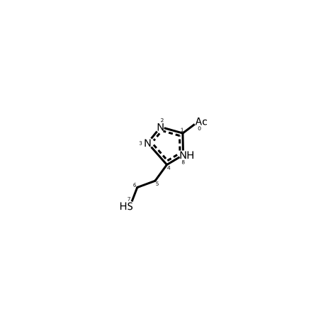 CC(=O)c1nnc(CCS)[nH]1